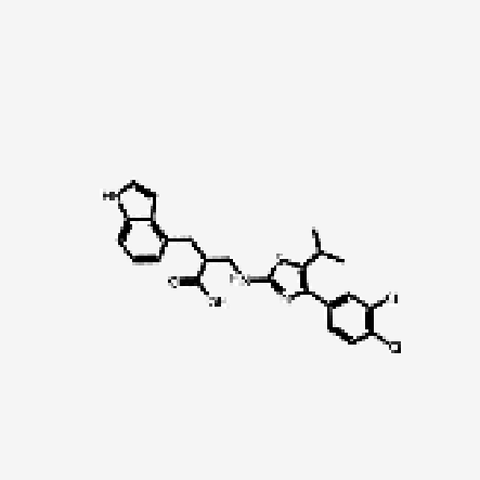 CC(C)c1sc(NCC(Cc2cccc3[nH]ccc23)C(=O)O)nc1-c1ccc(Cl)c(Cl)c1